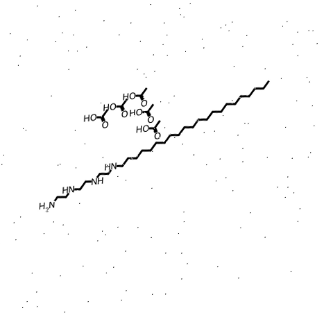 CC(=O)O.CC(=O)O.CC(=O)O.CC(=O)O.CC(=O)O.CCCCCCCCCCCCCCCCCCCCCCNCCNCCNCCN